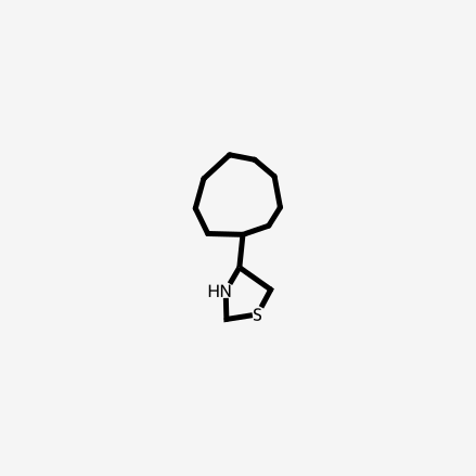 C1CCCCC(C2CSCN2)CCC1